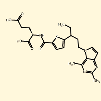 CCC(CCn1ccc2nc(N)nc(N)c21)c1ccc(C(=O)N[C@H](CCC(=O)O)C(=O)O)s1